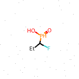 CCC(F)[PH](=O)O